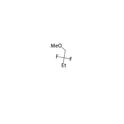 CCC(F)(F)COC